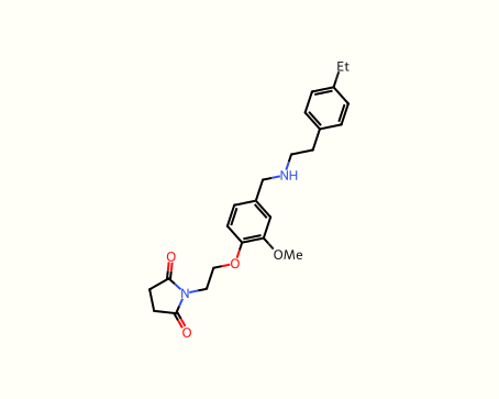 CCc1ccc(CCNCc2ccc(OCCN3C(=O)CCC3=O)c(OC)c2)cc1